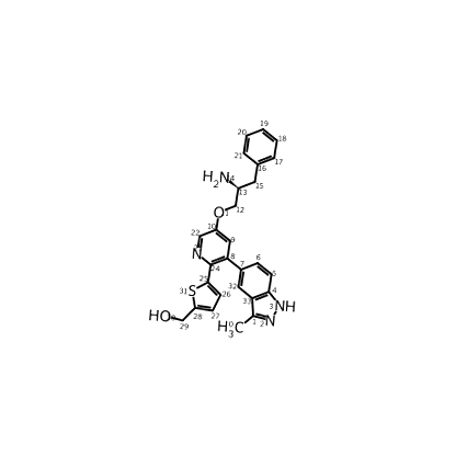 Cc1n[nH]c2ccc(-c3cc(OC[C@@H](N)Cc4ccccc4)cnc3-c3ccc(CO)s3)cc12